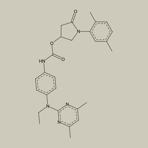 CCN(c1ccc(NC(=O)OC2CC(=O)N(c3cc(C)ccc3C)C2)cc1)c1nc(C)cc(C)n1